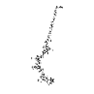 CNCCOCCOCCOCCOCCOCCOCCOCCNC(=O)CCNC(=O)c1nc(NC(=O)CCNC(=O)c2cc(NC(=O)c3nc(NC(=O)CCNC(=O)c4cc(NC(=O)c5nccn5C)cn4C)cn3C)cn2C)cn1C